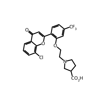 O=C(O)C1CCN(CCOc2cc(C(F)(F)F)ccc2-c2cc(=O)c3cccc(Cl)c3o2)C1